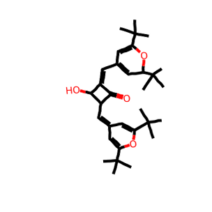 CC(C)(C)C1=CC(=CC2C(=O)C(=CC3=CC(C(C)(C)C)OC(C(C)(C)C)=C3)C2O)C=C(C(C)(C)C)O1